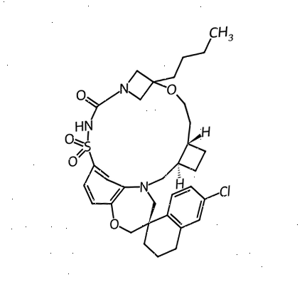 CCCCC12CN(C1)C(=O)NS(=O)(=O)c1ccc3c(c1)N(C[C@@H]1CC[C@H]1CCO2)C[C@@]1(CCCc2cc(Cl)ccc21)CO3